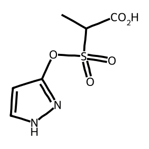 CC(C(=O)O)S(=O)(=O)Oc1cc[nH]n1